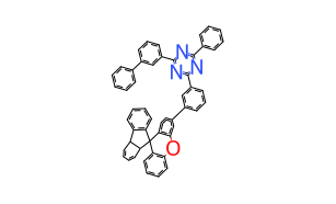 C1=CC2c3ccccc3C3(c4ccccc4Oc4cc(-c5cccc(-c6nc(-c7ccccc7)nc(-c7cccc(-c8ccccc8)c7)n6)c5)ccc43)C2C=C1